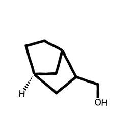 OCC1C[C@H]2CCC1C2